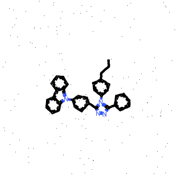 CCCc1ccc(-n2c(-c3ccccc3)nnc2-c2ccc(-n3c4ccccc4c4ccccc43)cc2)cc1